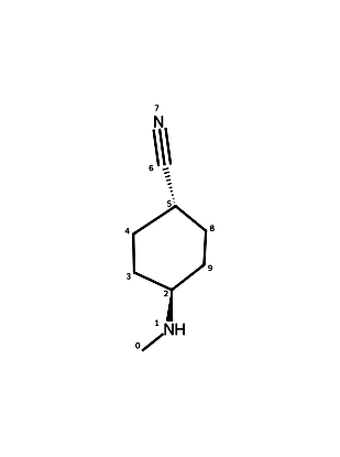 CN[C@H]1CC[C@H](C#N)CC1